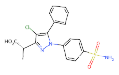 C[C@H](C(=O)O)c1nn(-c2ccc(S(N)(=O)=O)cc2)c(-c2ccccc2)c1Cl